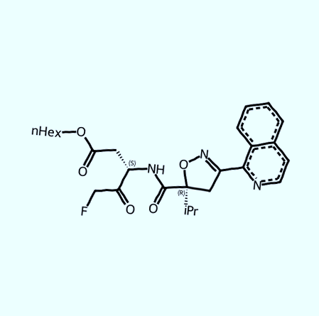 CCCCCCOC(=O)C[C@H](NC(=O)[C@]1(C(C)C)CC(c2nccc3ccccc23)=NO1)C(=O)CF